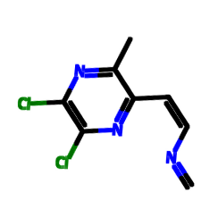 C=N/C=C\c1nc(Cl)c(Cl)nc1C